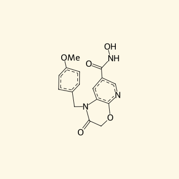 COc1ccc(CN2C(=O)COc3ncc(C(=O)NO)cc32)cc1